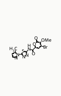 COc1c(Br)cc(C(=O)Nc2nnc(-n3nccc3C)s2)oc1=O